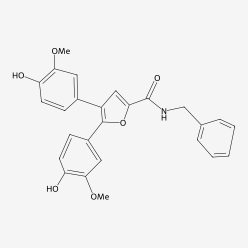 COc1cc(-c2cc(C(=O)NCc3ccccc3)oc2-c2ccc(O)c(OC)c2)ccc1O